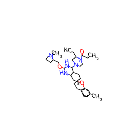 C=CC(=O)N1CCN(C2NC(OCC3CCCN3C)NC3C[C@@]4(CCc5ccc(C)cc5O4)CCC32)CC1CC#N